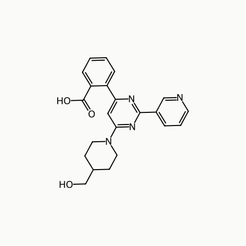 O=C(O)c1ccccc1-c1cc(N2CCC(CO)CC2)nc(-c2cccnc2)n1